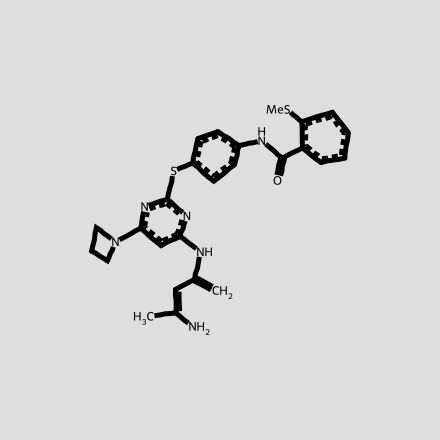 C=C(/C=C(/C)N)Nc1cc(N2CCC2)nc(Sc2ccc(NC(=O)c3ccccc3SC)cc2)n1